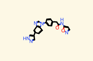 O=C(Cc1ccc(-n2cnc3cc(-c4cn[nH]c4)ccc32)cc1)Nc1ccno1